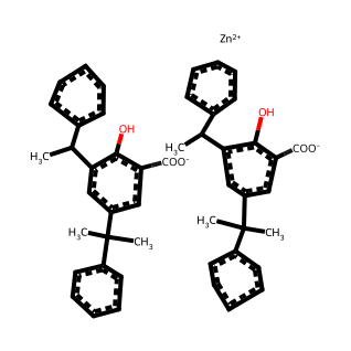 CC(c1ccccc1)c1cc(C(C)(C)c2ccccc2)cc(C(=O)[O-])c1O.CC(c1ccccc1)c1cc(C(C)(C)c2ccccc2)cc(C(=O)[O-])c1O.[Zn+2]